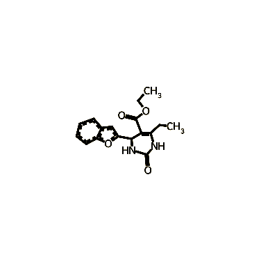 CCOC(=O)C1=C(CC)NC(=O)NC1c1cc2ccccc2o1